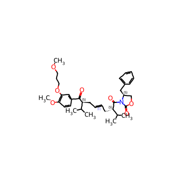 COCCCOc1cc(C(=O)[C@@H](C/C=C/C[C@H](C(=O)N2C(=O)OC[C@@H]2Cc2ccccc2)C(C)C)C(C)C)ccc1OC